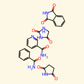 NC(=O)c1ccccc1.NC(=O)c1cccnc1.O=C1CCC(=O)N1.O=C1CNC(=O)N1.O=C1NC(=O)c2ccccc21